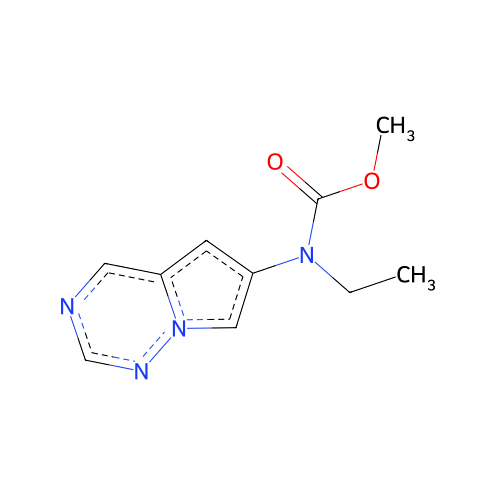 CCN(C(=O)OC)c1cc2cncnn2c1